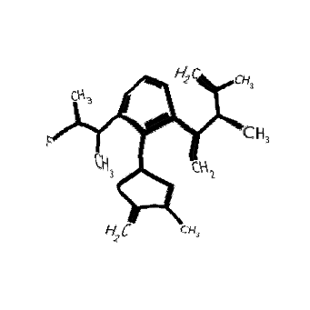 C=C1CC(c2c(C(=C)C(C)C(=C)C)cccc2C(C)C(C)F)CC1C